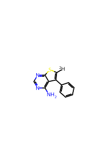 [2H]c1sc2ncnc(N)c2c1-c1ccccc1